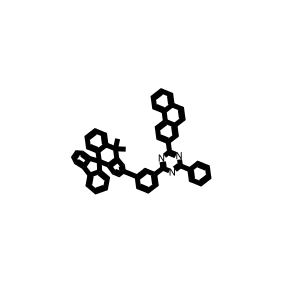 CC1(C)c2ccccc2C2(c3ccccc3-c3ccccc32)c2ccc(-c3cccc(-c4nc(-c5ccccc5)nc(-c5ccc6c(ccc7ccccc76)c5)n4)c3)cc21